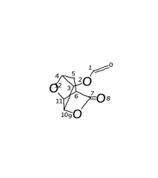 C=COC1C2CC3C(=O)OC1C3O2